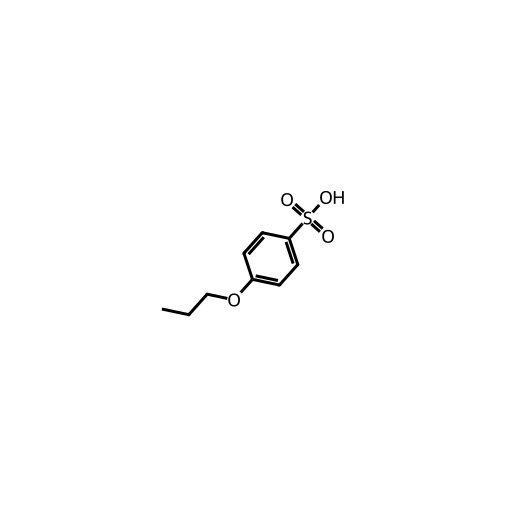 CCCOc1ccc(S(=O)(=O)O)cc1